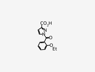 CCOc1ccccc1C(=O)n1ccc(C(=O)O)n1